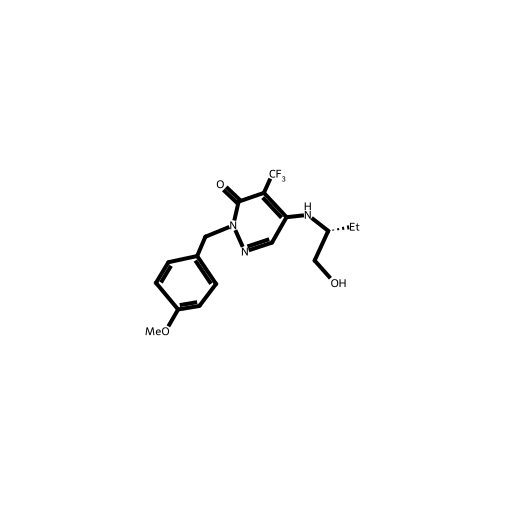 CC[C@H](CO)Nc1cnn(Cc2ccc(OC)cc2)c(=O)c1C(F)(F)F